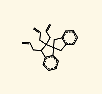 C=CCC1c2ccccc2C2(Cc3ccccc3C2)C1(CC=C)CC=C